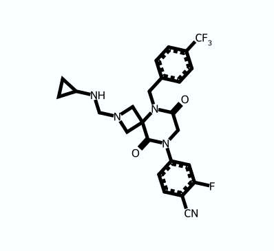 N#Cc1ccc(N2CC(=O)N(Cc3ccc(C(F)(F)F)cc3)C3(CN(CNC4CC4)C3)C2=O)cc1F